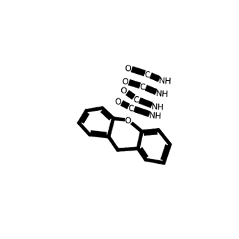 N=C=O.N=C=O.N=C=O.N=C=O.c1ccc2c(c1)Cc1ccccc1O2